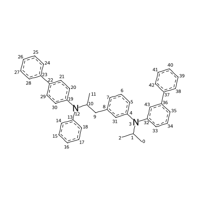 CC(C)N(c1cccc(CC(C)N(c2ccccc2)c2ccc(-c3ccccc3)cc2)c1)c1cccc(-c2ccccc2)c1